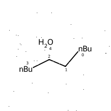 CCCCCCCCCC.O